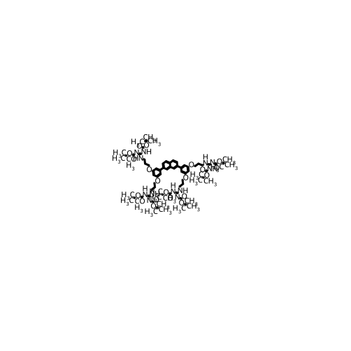 CC(C)(C)OC(=O)/N=C(/NCCCOc1cc(OCCCN/C(=N\C(=O)OC(C)(C)C)NC(=O)OC(C)(C)C)cc(-c2ccc3ccc(-c4cc(OCCCN/C(=N\C(=O)OC(C)(C)C)NC(=O)OC(C)(C)C)cc(OCCCN/C(=N\C(=O)OC(C)(C)C)NC(=O)OC(C)(C)C)c4)cc3c2)c1)NC(=O)OC(C)(C)C